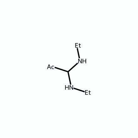 CCNC(NCC)C(C)=O